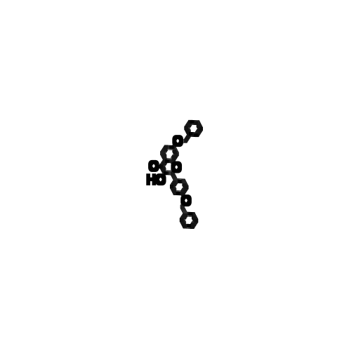 O=c1c(O)c(-c2ccc(OCc3ccccc3)cc2)oc2cc(OCc3ccccc3)ccc12